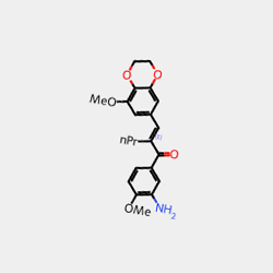 CCC/C(=C\c1cc(OC)c2c(c1)OCCO2)C(=O)c1ccc(OC)c(N)c1